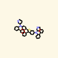 c1ccc(-c2ccccc2N(c2cccnc2)c2ccc3c(c2)sc2c4ccc(N(c5cccnc5)c5ccccc5-c5ccccc5)cc4c4ccccc4c32)cc1